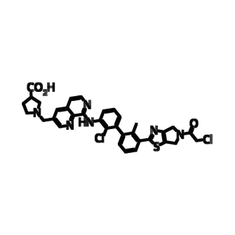 Cc1c(-c2nc3c(s2)CN(C(=O)CCl)C3)cccc1-c1cccc(Nc2nccc3cc(CN4CCC(C(=O)O)C4)cnc23)c1Cl